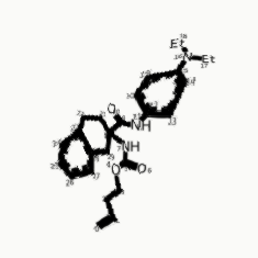 C=CCCOC(=O)NC1(C(=O)Nc2ccc(N(CC)CC)cc2)CCc2ccccc2C1